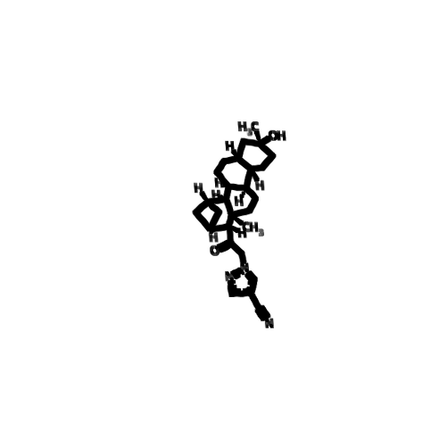 C[C@@]1(O)CC[C@H]2[C@H](CC[C@@H]3[C@@H]2CC[C@@]2(C)[C@H]3[C@H]3C[C@@H](C3)[C@H]2C(=O)Cn2cc(C#N)cn2)C1